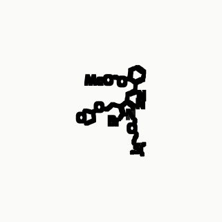 COCOc1ccccc1-c1cc2c(CCOC3CCOC3)c(Br)n(COCC[Si](C)(C)C)c2nn1